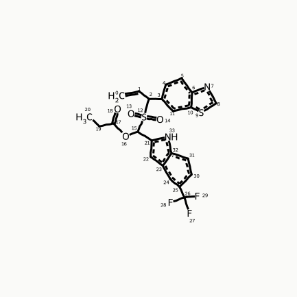 C=CC(c1ccc2ncsc2c1)S(=O)(=O)C(OC(=O)CC)c1cc2cc(C(F)(F)F)ccc2[nH]1